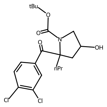 CCCC1(C(=O)c2ccc(Cl)c(Cl)c2)CC(O)CN1C(=O)OC(C)(C)C